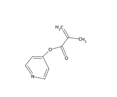 C=C(C)C(=O)Oc1ccncc1